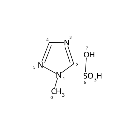 Cn1cncn1.O=S(=O)(O)O